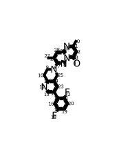 Cc1cc(=O)n2nc(N3CCc4ncc(-c5cc(F)ccc5F)cc4C3)c(C)cc2n1